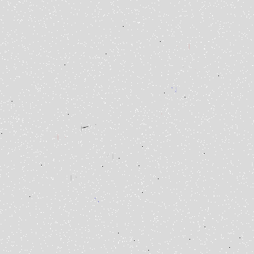 C[C@H](CCC(=O)N(C)CC(=O)O)[C@H]1CC[C@H]2[C@@H]3[C@@H](O)C[C@@H]4CNCC[C@]4(C)[C@H]3CC[C@]12C